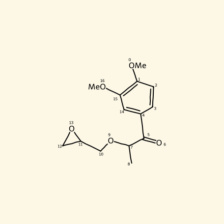 COc1ccc(C(=O)C(C)OCC2CO2)cc1OC